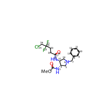 COC(=O)N[C@H]1CN(Cc2ccccc2)C[C@@H]1NC(=O)CCC(F)(F)CCl